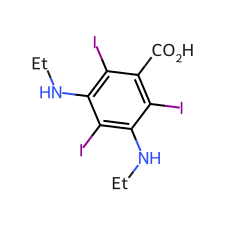 CCNc1c(I)c(NCC)c(I)c(C(=O)O)c1I